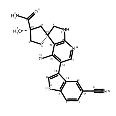 C[C@@]1(C(N)=O)CC[C@@]2(CNc3ncc(-c4c[nH]c5ccc(C#N)cc45)c(Cl)c32)C1